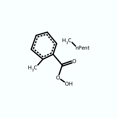 CCCCCC.Cc1ccccc1C(=O)OO